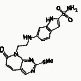 CSc1ncc2ccc(=O)n(CCNc3ccc4cc(S(N)(=O)=O)[nH]c4c3)c2n1